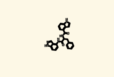 O=C(NC(Cc1ccccc1)C(=O)Nc1cccc2[nH]ncc12)c1cccc2[nH]ccc12